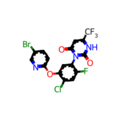 O=c1cc(C(F)(F)F)[nH]c(=O)n1-c1cc(Oc2ccc(Br)cn2)c(Cl)cc1F